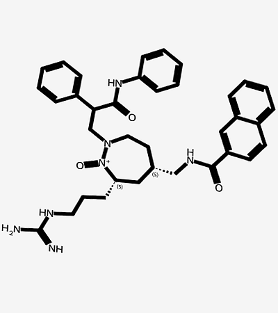 N=C(N)NCCC[C@H]1C[C@@H](CNC(=O)c2ccc3ccccc3c2)CCN(CC(C(=O)Nc2ccccc2)c2ccccc2)[N+]1=O